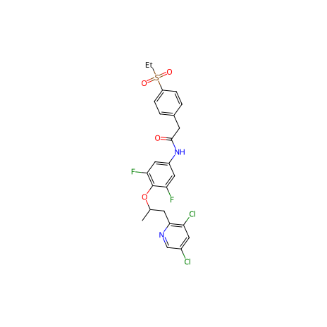 CCS(=O)(=O)c1ccc(CC(=O)Nc2cc(F)c(OC(C)Cc3ncc(Cl)cc3Cl)c(F)c2)cc1